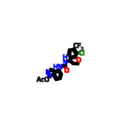 CC(=O)On1ncc2c(NC(=O)NC3CCOc4c3ccc(C(F)(F)F)c4Cl)cccc21